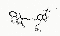 CCCc1c(OCCCN2C(=O)NC(C)(c3ccccn3)C2=O)ccc2c(C(F)(F)F)noc12